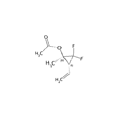 C=C[C@H]1C(F)(F)[C@]1(C)OC(C)=O